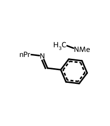 CCCN=Cc1ccccc1.CNC